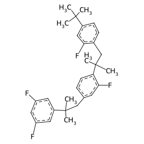 CC(C)(C)c1ccc(CC(C)(C)c2ccc(CC(C)(C)c3cc(F)cc(F)c3)cc2F)c(F)c1